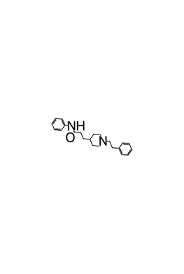 O=C(CCC1CCN(CCc2ccccc2)CC1)Nc1ccccc1